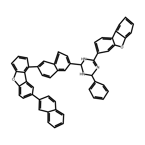 c1ccc(C2N=C(c3ccc4c(c3)oc3ccccc34)NC(c3ccc4cc(-c5cccc6oc7ccc(-c8ccc9ccccc9c8)cc7c56)ccc4c3)N2)cc1